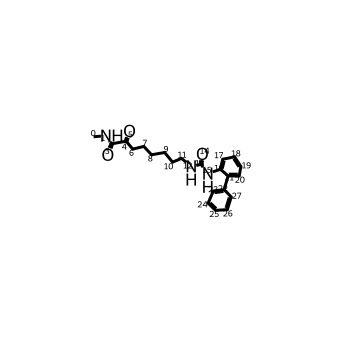 CNC(=O)C(=O)CCCCCCNC(=O)Nc1ccccc1-c1ccccc1